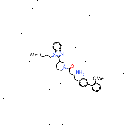 COCCCn1c([C@@H]2CCCN(C(=O)C[C@H](N)Cc3ccc(-c4ccccc4OC)cc3)C2)nc2ccccc21